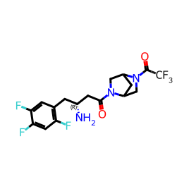 N[C@@H](CC(=O)N1CC2CC1CN2C(=O)C(F)(F)F)Cc1cc(F)c(F)cc1F